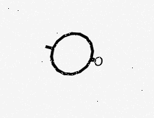 CC1CCCCCCCC(=O)CCCCCCC1